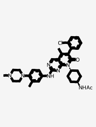 CC(=O)N[C@H]1CC[C@H](n2c(=O)c(-c3ccccc3Cl)c(C)c3cnc(Nc4ccc(N5CCN(C)CC5)c(C)c4)nc32)CC1